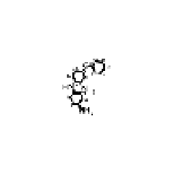 Nc1ccc(Nc2ccc(Oc3ccccc3)cc2)c(N)c1